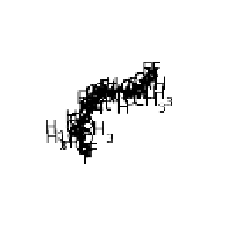 CCC(CC)(O[PH](=O)OC(CC)(CC)n1cc(CNC(=O)C(=O)c2c(C)c(C(=O)Nc3ccc(F)c(F)c3)n(C)c2C)nn1)n1cc(CNC(=O)C(=O)c2c(C)c(C(=O)Nc3ccc(F)c(F)c3)n(C)c2C)nn1